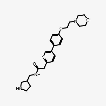 O=C(Cc1ccc(-c2ccc(OCCN3CCOCC3)cc2)cn1)NCC1CCNC1